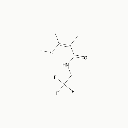 CO/C(C)=C(/C)C(=O)NCC(F)(F)F